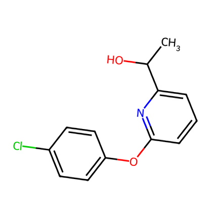 CC(O)c1cccc(Oc2ccc(Cl)cc2)n1